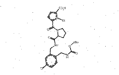 CCn1c(C(=O)O)ccc1C(=O)N1CCCC1C(=O)NCc1cc(Cl)ccc1CNC(=O)OC(C)(C)C